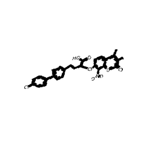 Cc1c(C)c2ccc(OC(CCc3ccc(-c4ccc(Cl)cc4)cc3)C(=O)O)c([N+](=O)[O-])c2oc1=O